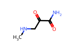 CNCC(=O)C(N)=O